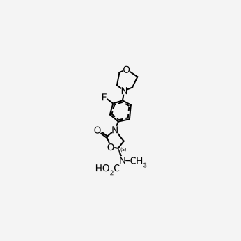 CN(C(=O)O)[C@@H]1CN(c2ccc(N3CCOCC3)c(F)c2)C(=O)O1